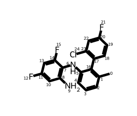 Cc1cccc(Nc2c(N)cc(F)cc2F)c1-c1ccc(F)cc1Cl